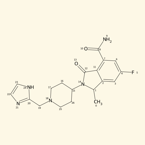 CC1c2cc(F)cc(C(N)=O)c2C(=O)N1C1CCN(Cc2ncc[nH]2)CC1